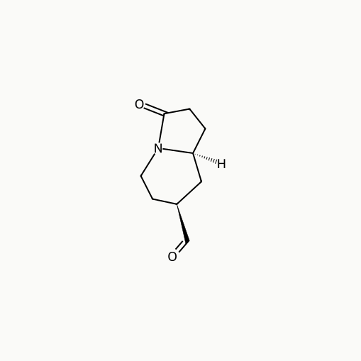 O=C[C@H]1CCN2C(=O)CC[C@H]2C1